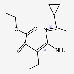 C=C(C(=O)OCC)/C(CC)=C(N)\N=C(/C)C1CC1